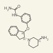 NC(=O)Nc1cccc(O[C@@H]2c3ccccc3C[C@H]2N2CCC[C@H](N)C2)c1